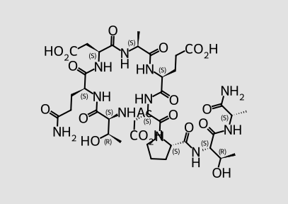 CC(=O)N[C@H](C(=O)N[C@@H](CCC(N)=O)C(=O)N[C@@H](CC(=O)O)C(=O)N[C@@H](C)C(=O)N[C@@H](CCC(=O)O)C(=O)N[C@@H](CC(=O)O)C(=O)N1CCC[C@H]1C(=O)N[C@H](C(=O)N[C@@H](C)C(N)=O)[C@@H](C)O)[C@@H](C)O